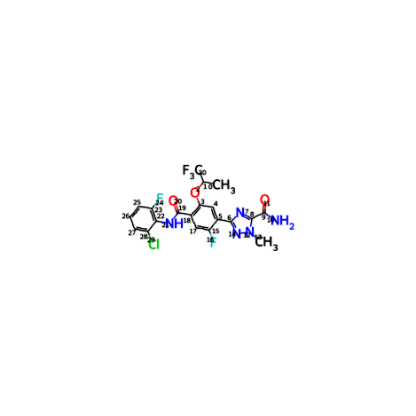 CC(Oc1cc(-c2nc(C(N)=O)n(C)n2)c(F)cc1C(=O)Nc1c(F)cccc1Cl)C(F)(F)F